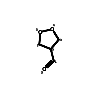 O=[C]C1COOC1